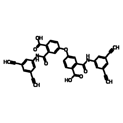 C#Cc1cc(C#C)cc(NC(=O)c2cc(Oc3ccc(C(=O)O)c(C(=O)Nc4cc(C#C)cc(C#C)c4)c3)ccc2C(=O)O)c1